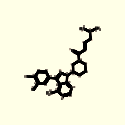 CN(C)CC=CC(=O)N1CCC[C@@H](n2nc(-c3ccc(F)c(Cl)c3)c3c(N)ncnc32)C1